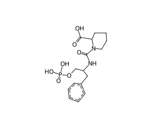 O=C(O)C1CCCCN1C(=O)NC(COP(=O)(O)O)Cc1ccccc1